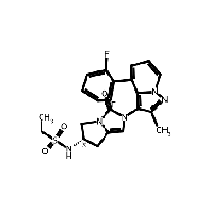 CCS(=O)(=O)N[C@H]1Cc2cn(-c3c(C)nn4cccc(-c5c(F)cccc5F)c34)c(=O)n2C1